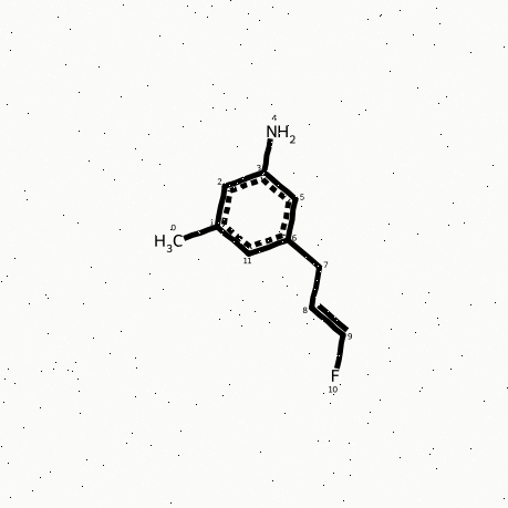 Cc1cc(N)cc(CC=CF)c1